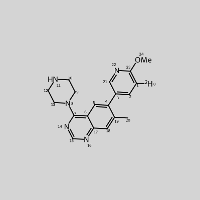 [2H]c1cc(-c2cc3c(N4CCNCC4)ncnc3cc2C)cnc1OC